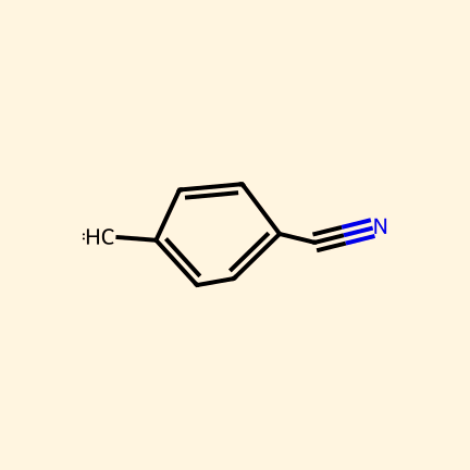 [CH]c1ccc(C#N)cc1